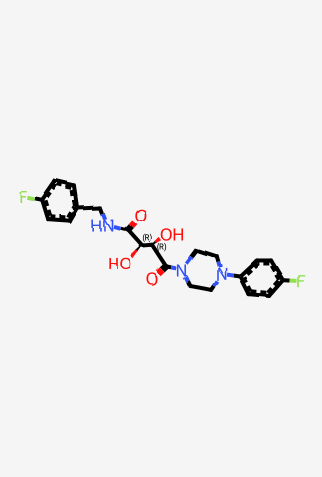 O=C(NCc1ccc(F)cc1)[C@H](O)[C@@H](O)C(=O)N1CCN(c2ccc(F)cc2)CC1